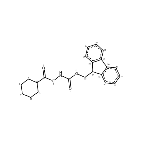 O=C(NOC(=O)C1CCCCC1)OCC1c2ccccc2-c2ccccc21